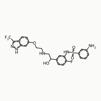 Nc1cccc(S(=O)(=O)Nc2cc(C(O)CNCCOc3ccc4c(C(F)(F)F)n[nH]c4c3)ccc2F)c1